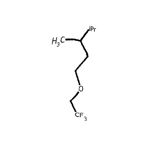 CC(C)C(C)CCOCC(F)(F)F